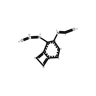 O=C=Nc1ccc2c(c1N=C=O)=CC=2